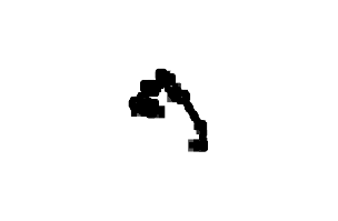 CC(CCc1nc2cc(C#CC#CC3CN(CCCO)C3)ccc2s1)(CNOC(=O)CCc1ccccc1OP(=O)(O)O)S(C)(=O)=O